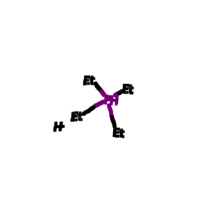 CC[PH](CC)(CC)CC.[H]